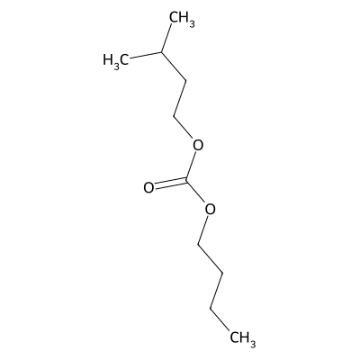 CCCCOC(=O)OCCC(C)C